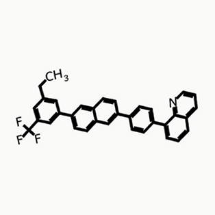 CCc1cc(-c2ccc3cc(-c4ccc(-c5cccc6cccnc56)cc4)ccc3c2)cc(C(F)(F)F)c1